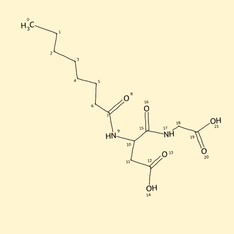 CCCCCCCC(=O)NC(CC(=O)O)C(=O)NCC(=O)O